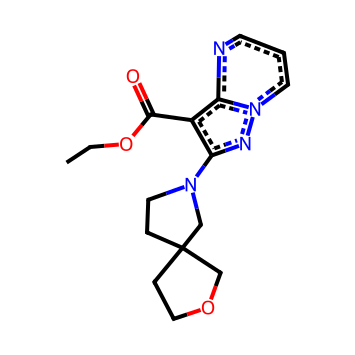 CCOC(=O)c1c(N2CCC3(CCOC3)C2)nn2cccnc12